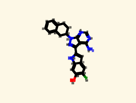 Nc1ncnc2c1c(-c1cc3cc(F)c(O)cc3[nH]1)nn2C1CCc2ccccc2C1